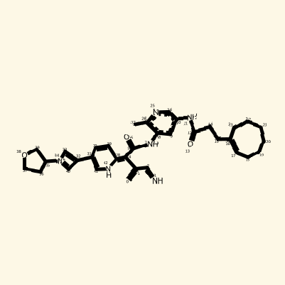 C=C(C=N)/C(C(=O)Nc1cc(NC(=O)CC/C2=C/CCCCCC2)cnc1C)=C1/C=CC(C2=C[N+](C3CCOC3)=C2)=CN1